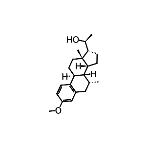 COc1ccc2c(c1)C[C@@H](C)[C@@H]1[C@@H]2CC[C@@]2(C)[C@@H]1CC[C@H]2[C@H](C)O